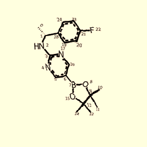 C[C@@H](Nc1ncc(B2OC(C)(C)C(C)(C)O2)cn1)c1ccc(F)cc1